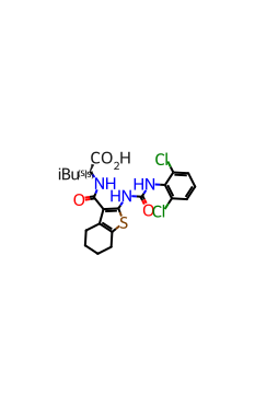 CC[C@H](C)[C@H](NC(=O)c1c(NC(=O)Nc2c(Cl)cccc2Cl)sc2c1CCCC2)C(=O)O